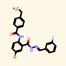 CCc1ccc(C(=O)Nc2ccc(Br)cc2C(=O)N/N=C/c2cccc(F)c2)cc1